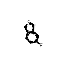 Fc1ccc2cs[c]c2c1